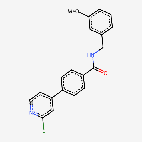 COc1cccc(CNC(=O)c2ccc(-c3ccnc(Cl)c3)cc2)c1